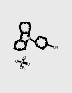 N#Cc1ccc(-[s+]2c3ccccc3c3ccccc32)cc1.O=S(=O)([O-])C(F)(F)F